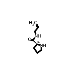 C=CCNC(=O)[C@@H]1CCCN1